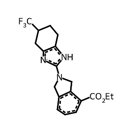 CCOC(=O)c1cccc2c1CN(c1nc3c([nH]1)CCC(C(F)(F)F)C3)C2